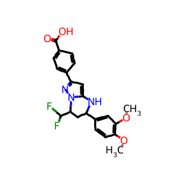 COc1ccc(C2CC(C(F)F)n3nc(-c4ccc(C(=O)O)cc4)cc3N2)cc1OC